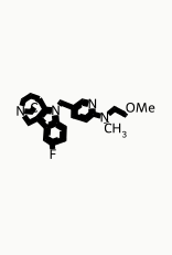 COCCN(C)c1ccc(Cn2c3c(c4cc(F)ccc42)CN2CCC3CC2)cn1